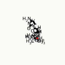 CC[C@]12O[C@@H](n3ccc(N)nc3=O)[C@H](O[C@@H]1COC)[C@@H]2O[Si](C)(C)C(C)(C)C